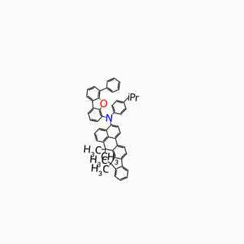 CC(C)c1ccc(N(c2ccc3c4c(cccc24)C(C)(C)c2c-3ccc3c2C(C)(C)c2ccccc2-3)c2cccc3c2oc2c(-c4ccccc4)cccc23)cc1